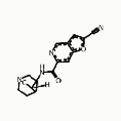 N#Cc1cc2cnc(C(=O)N[C@H]3CN4CCC3CC4)cc2o1